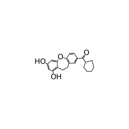 O=C(c1ccc2c(c1)CCc1c(O)cc(O)cc1O2)C1CCCCC1